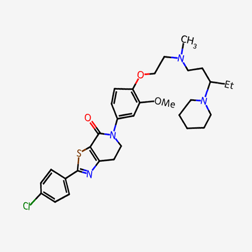 CCC(CCN(C)CCOc1ccc(N2CCc3nc(-c4ccc(Cl)cc4)sc3C2=O)cc1OC)N1CCCCC1